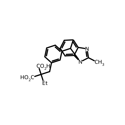 CCC(Cc1cccc(C2c3cccc4c3nc(C)n42)c1)(C(=O)O)C(=O)O